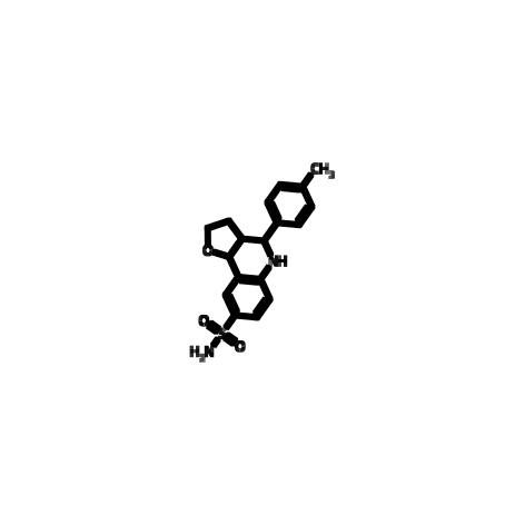 Cc1ccc(C2Nc3ccc(S(N)(=O)=O)cc3C3OCCC23)cc1